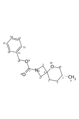 C[C@@H]1CCC2(CN(C(=O)OCc3ccccc3)C2)OC1